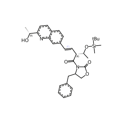 CC(O[Si](C)(C)C(C)(C)C)[C@@H](/C=C/c1ccc2ccc([C@@H](C)O)nc2c1)C(=O)N1C(=O)OCC1Cc1ccccc1